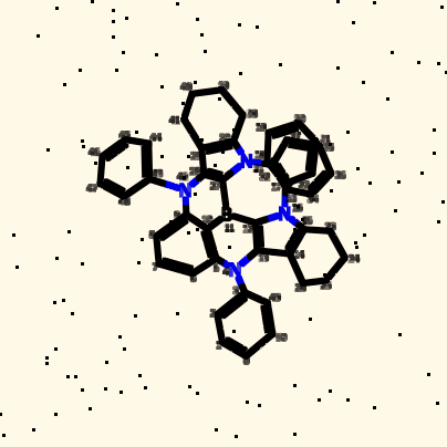 c1ccc(N2c3cccc4c3B(c3c2c2c(n3-c3ccccc3)CCCC2)c2c(c3c(n2-c2ccccc2)CCCC3)N4c2ccccc2)cc1